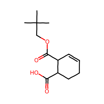 CC(C)(C)COC(=O)C1C=CCCC1C(=O)O